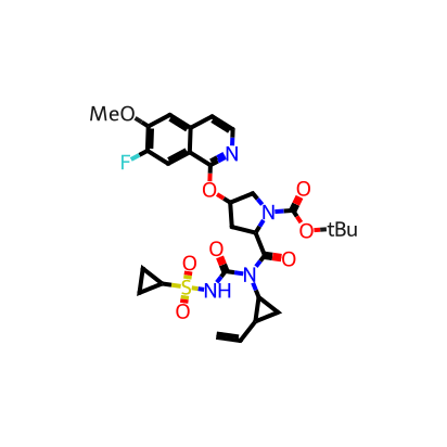 C=CC1CC1N(C(=O)NS(=O)(=O)C1CC1)C(=O)C1CC(Oc2nccc3cc(OC)c(F)cc23)CN1C(=O)OC(C)(C)C